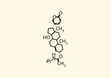 C=C(NC(C)C)O[C@@H]1C=C2CCC3C(CC[C@]4(C)[C@@H](c5ccc(=O)oc5)CC[C@]34O)[C@@]2(C)CC1